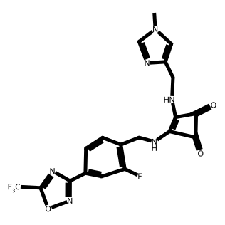 Cn1cnc(CNc2c(NCc3ccc(-c4noc(C(F)(F)F)n4)cc3F)c(=O)c2=O)c1